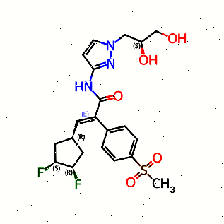 CS(=O)(=O)c1ccc(/C(=C\[C@H]2C[C@@H](F)[C@@H](F)C2)C(=O)Nc2ccn(C[C@H](O)CO)n2)cc1